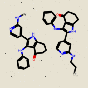 CC(C)Nc1cc(-c2[nH]c3c(c2Nc2ccccc2)C(=O)CCC3)ccn1.O=C1CCCc2[nH]c(-c3ccnc(NCCC(F)(F)F)c3)c(Nc3ccccc3)c21